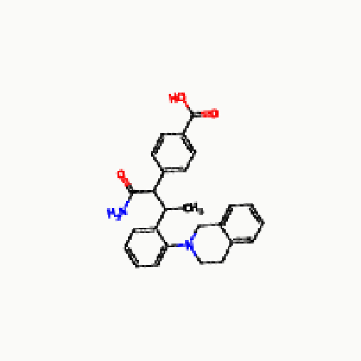 CC(c1ccccc1N1CCc2ccccc2C1)C(C(N)=O)c1ccc(C(=O)O)cc1